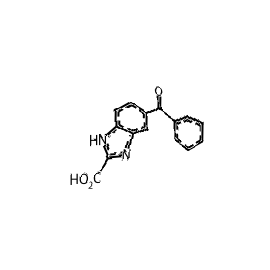 O=C(c1ccccc1)c1ccc2[nH]c(C(=O)O)nc2c1